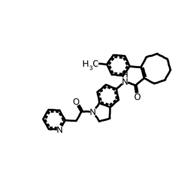 Cc1ccc(C2=C(C(=O)Nc3ccc4c(c3)CCN4C(=O)Cc3ccccn3)CCCCCC2)cc1